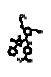 C=CCOc1cc(CO)cc(C(Nc2ccc(C(=N)N)cc2)c2nn(-c3ncccn3)c(=O)[nH]2)c1